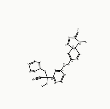 CCC(C#N)(Cc1ccccc1)c1cccc(OCc2ccc3c(ccc(=O)n3C)c2)c1